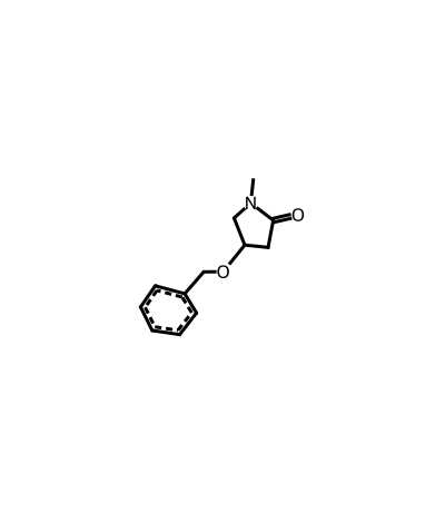 CN1CC(OCc2ccccc2)CC1=O